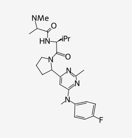 CNC(C)C(=O)N[C@H](C(=O)N1CCCC1c1cc(N(C)c2ccc(F)cc2)nc(C)n1)C(C)C